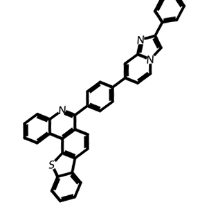 c1ccc(-c2cn3ccc(-c4ccc(-c5nc6ccccc6c6c5ccc5c7ccccc7sc56)cc4)cc3n2)cc1